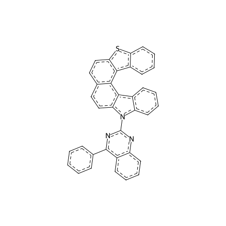 c1ccc(-c2nc(-n3c4ccccc4c4c5c(ccc6sc7ccccc7c65)ccc43)nc3ccccc23)cc1